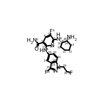 NC(=O)c1cc(F)c(N[C@H]2CCCC[C@H]2N)nc1Nc1ccc2c(c1)c(F)nn2CCF